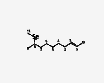 C/C=C/CCCCCC(C)[Se]C